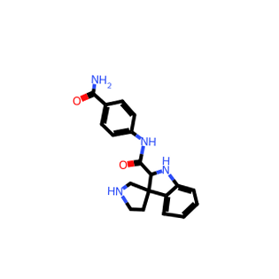 NC(=O)c1ccc(NC(=O)C2Nc3ccccc3C23CCNC3)cc1